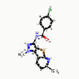 Cc1ccc2c(n1)sc1c(NC(=O)c3ccc(Br)cc3)nn(C)c12